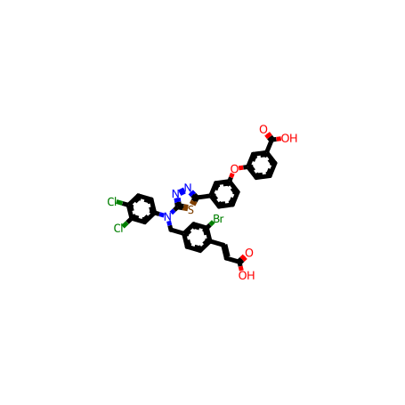 O=C(O)C=Cc1ccc(CN(c2ccc(Cl)c(Cl)c2)c2nnc(-c3cccc(Oc4cccc(C(=O)O)c4)c3)s2)cc1Br